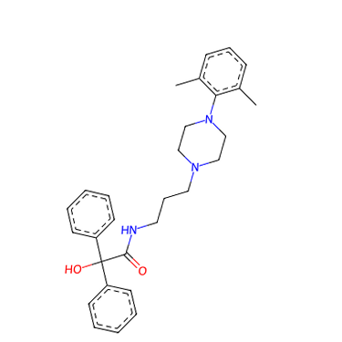 Cc1cccc(C)c1N1CCN(CCCNC(=O)C(O)(c2ccccc2)c2ccccc2)CC1